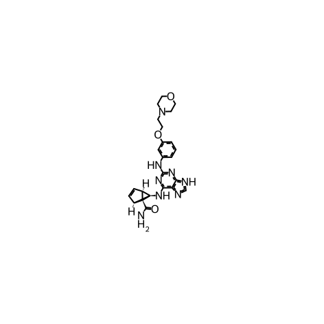 NC(=O)[C@]12[C@H]3C=C[C@H]1[C@]32Nc1nc(Nc2cccc(OCCN3CCOCC3)c2)nc2[nH]cnc12